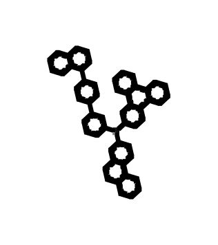 c1cc(-c2ccc(-c3cccc4ccccc34)cc2)cc(N(c2ccc3c(ccc4ccccc43)c2)c2ccc3c4ccccc4c4ccccc4c3c2)c1